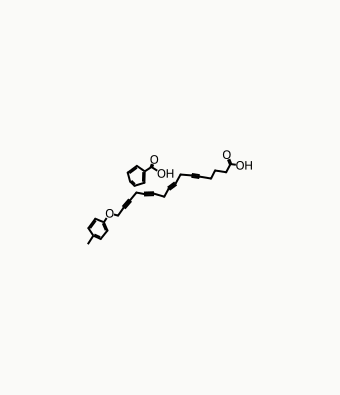 Cc1ccc(OCC#CCC#CCC#CCC#CCCCC(=O)O)cc1.O=C(O)c1ccccc1